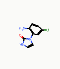 Nc1ccc(Cl)cc1-n1cc[nH]c1=O